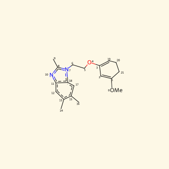 COC1=CC(OCCn2c(C)nc3cc(C)c(C)cc32)=CCC1